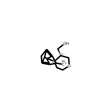 CC1C2=C3CC(=C1C2)C3N1CCOC[C@@H]1CO